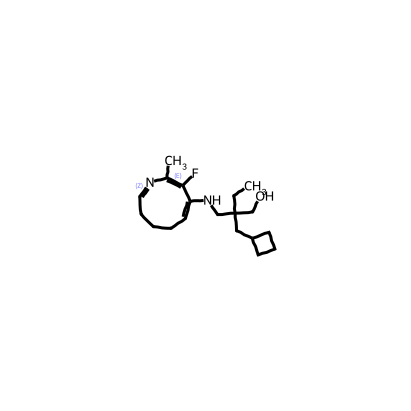 CCC(CO)(CNC1=CCCC/C=N\C(C)=C/1F)CC1CCC1